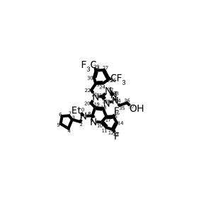 CCN(CC1CCCC1)c1nc2cc(F)cc(F)c2cc1CN(Cc1cc(C(F)(F)F)cc(C(F)(F)F)c1)c1nnn(CCO)n1